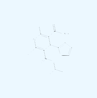 CCC(CC)OC(=O)C1=C(C)NC(C)=C(C(=O)OC)C1c1ccco1